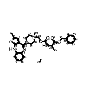 Cc1cc2c(s1)Nc1ccccc1N=C2N1CC[N+](C)(COC(=O)NC(C)C(=O)OCc2ccccc2)CC1.[I-]